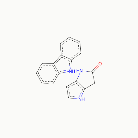 O=C1Cc2[nH]ccc2N1.c1ccc2c(c1)[nH]c1ccccc12